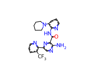 Nc1ncc(-c2ncccc2C(F)(F)F)nc1C(=O)Nc1ncccc1N1CCCCC1